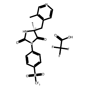 Cc1cnccc1C[C@]1(C)NC(=O)N(c2ccc(S(=O)(=O)C(F)(F)F)cc2)C1=O.O=C(O)C(F)(F)F